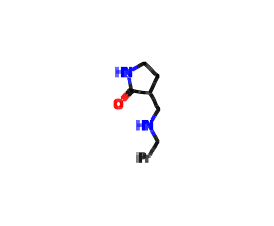 CC(C)CNCC1CCNC1=O